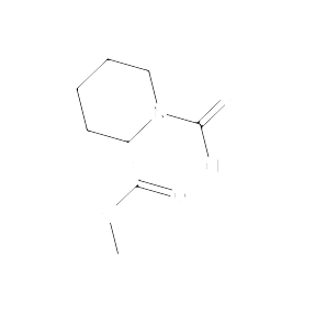 COC(=O)[C@@H]1CCCCN1C(=O)Cl